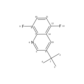 CC(C)(C)c1cnc2c(F)ccc(F)c2c1